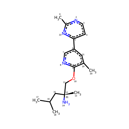 Cc1nccc(-c2cnc(OC[C@](C)(N)CC(C)C)c(C)c2)n1